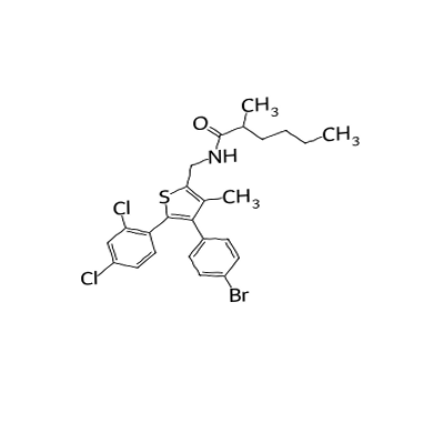 CCCCC(C)C(=O)NCc1sc(-c2ccc(Cl)cc2Cl)c(-c2ccc(Br)cc2)c1C